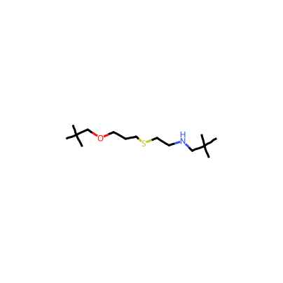 CC(C)(C)CNCCSCCCOCC(C)(C)C